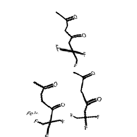 CC(=O)CC(=O)C(F)(F)F.CC(=O)CC(=O)C(F)(F)F.CC(=O)CC(=O)C(F)(F)F.[Fe+3]